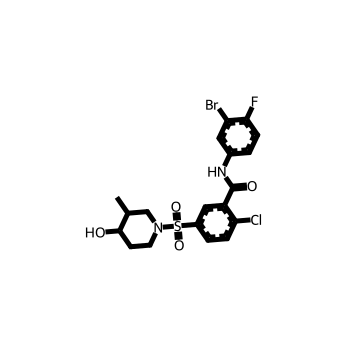 CC1CN(S(=O)(=O)c2ccc(Cl)c(C(=O)Nc3ccc(F)c(Br)c3)c2)CCC1O